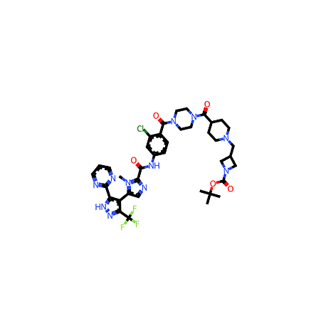 Cn1c(-c2c(C(F)(F)F)n[nH]c2-c2ncccn2)cnc1C(=O)Nc1ccc(C(=O)N2CCN(C(=O)C3CCN(CC4CN(C(=O)OC(C)(C)C)C4)CC3)CC2)c(Cl)c1